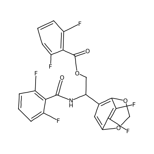 O=C(NC(COC(=O)c1c(F)cccc1F)c1cc2c(F)c(F)c1OCO2)c1c(F)cccc1F